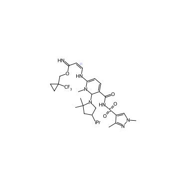 Cc1nn(C)cc1S(=O)(=O)NC(=O)C1=CC=C(N/C=C\C(=N)OCC2(C(F)(F)F)CC2)N(C)C1N1CC(C(C)C)CC1(C)C